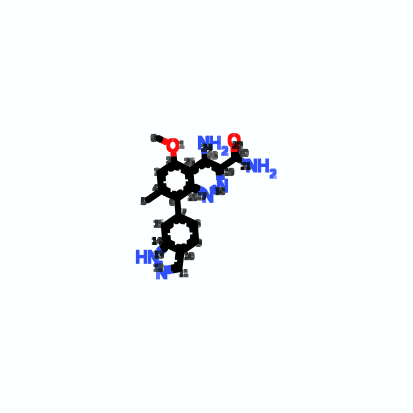 COc1cc(C)c(-c2ccc3cn[nH]c3c2)c2nnc(C(N)=O)c(N)c12